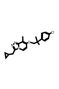 Cc1c(OCC(C)(C)c2ccc(Cl)cc2)ccn2c(CC3CC3)nnc12